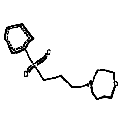 O=S(=O)(CCCN1CCOCC1)c1ccccc1